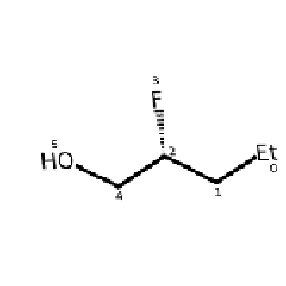 CCC[C@@H](F)CO